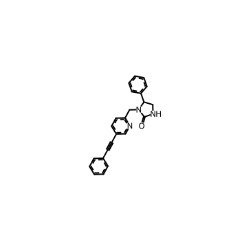 O=C1NCC(c2ccccc2)N1Cc1ccc(C#Cc2ccccc2)cn1